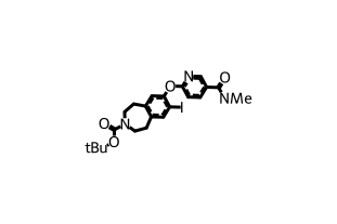 CNC(=O)c1ccc(Oc2cc3c(cc2I)CCN(C(=O)OC(C)(C)C)CC3)nc1